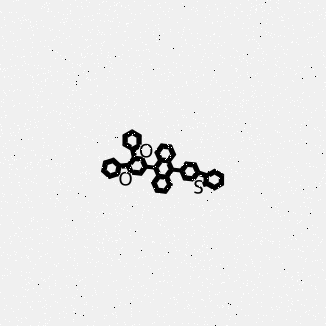 c1ccc2c(c1)oc1cc(-c3c4ccccc4c(-c4ccc5c(c4)sc4ccccc45)c4ccccc34)c3oc4ccccc4c3c12